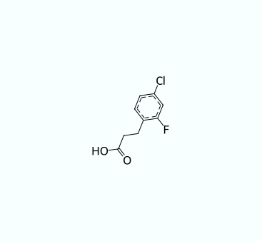 O=C(O)CCc1ccc(Cl)cc1F